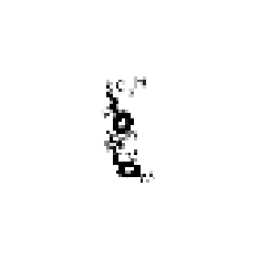 O=C(O)CCC(=O)c1ccc(Cl)c(S(=O)(=O)NCCc2ccc(Cl)cc2Cl)c1